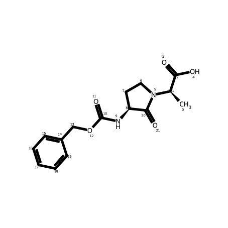 C[C@H](C(=O)O)N1CC[C@H](NC(=O)OCc2ccccc2)C1=O